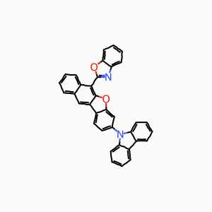 c1ccc2c(-c3nc4ccccc4o3)c3oc4cc(-n5c6ccccc6c6ccccc65)ccc4c3cc2c1